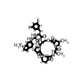 C[C@H]1C[C@H]2C(=O)OC[C@H](NC(=O)[C@H](Cc3cc(F)cc(F)c3)NC(=O)Nc3ccc4ccn(C)c4c3)C(=O)N3CCC[C@H]3C(=O)N3CCCC[C@H]3C(=O)N[C@@H](C)C(=O)N2C1